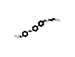 C=C[C@H]1CC[C@H](CC[C@H]2CC[C@H](c3ccc(COC/C=C/C)cc3)CC2)CC1